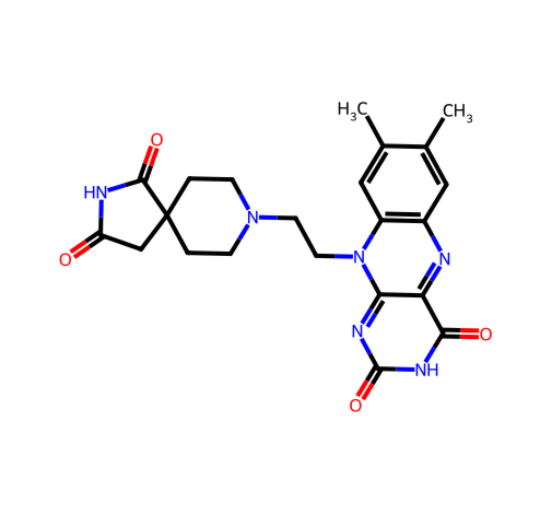 Cc1cc2nc3c(=O)[nH]c(=O)nc-3n(CCN3CCC4(CC3)CC(=O)NC4=O)c2cc1C